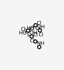 Oc1c(Cl)cc(Cl)cc1Sc1cc(Cl)cc(Cl)c1O.Oc1ccc(Cl)cc1Cc1cc(Cl)ccc1O.c1ccc(Nc2ccccc2)cc1